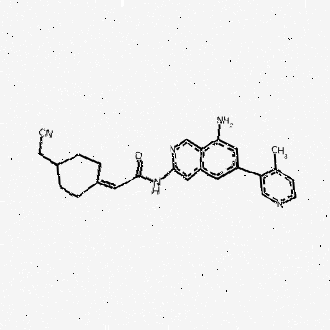 Cc1ccncc1-c1cc(N)c2cnc(NC(=O)C=C3CCC(CC#N)CC3)cc2c1